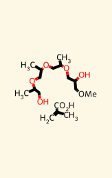 C=C(C)C(=O)O.COCC(O)COC(C)COC(C)COC(C)CO